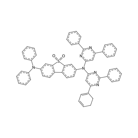 O=S1(=O)c2cc(N(c3ccccc3)c3ccccc3)ccc2-c2ccc(N(c3cc(C4=CC=CCC4)nc(-c4ccccc4)n3)c3cc(-c4ccccc4)nc(-c4ccccc4)n3)cc21